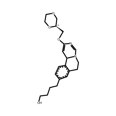 OCCCCc1ccc2c(c1)CCN1C=NC(OC[C@@H]3COCCO3)=CC21